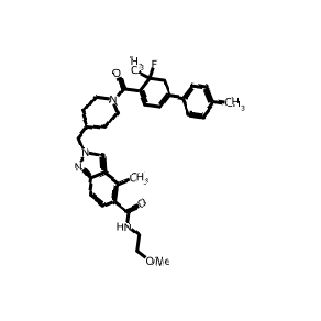 COCCNC(=O)c1ccc2nn(CC3CCN(C(=O)C4=CC=C(c5ccc(C)cc5)CC4(C)F)CC3)cc2c1C